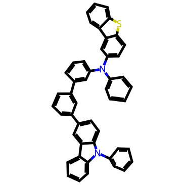 c1ccc(N(c2cccc(-c3cccc(-c4ccc5c(c4)c4ccccc4n5-c4ccccc4)c3)c2)c2ccc3sc4ccccc4c3c2)cc1